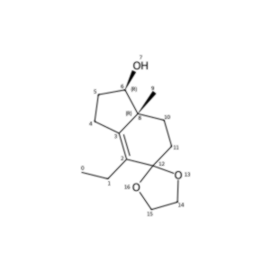 CCC1=C2CC[C@@H](O)[C@]2(C)CCC12OCCO2